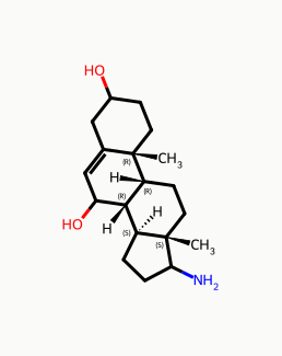 C[C@]12CCC(O)CC1=CC(O)[C@@H]1[C@H]2CC[C@]2(C)C(N)CC[C@@H]12